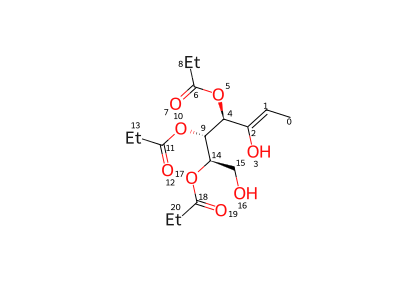 C/C=C(\O)[C@H](OC(=O)CC)[C@@H](OC(=O)CC)[C@@H](CO)OC(=O)CC